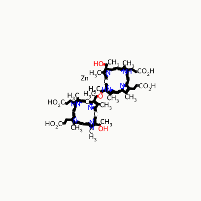 CC1=C(CCC(=O)O)c2cc3[nH]c(cc4nc(cc5[nH]c(cc1n2)c(C)c5C(C)OC(C)C1=C(C)c2cc5[nH]c(cc6nc(cc7[nH]c(cc1n2)c(C)c7CCC(=O)O)C(CCC(=O)O)=C6C)c(C)c5C(C)O)C(C)=C4C(C)O)c(C)c3CCC(=O)O.[Zn]